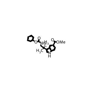 COC(=O)c1ccc2[nH]cc(C(C)(C)CNC(=O)Oc3ccccc3)c2c1